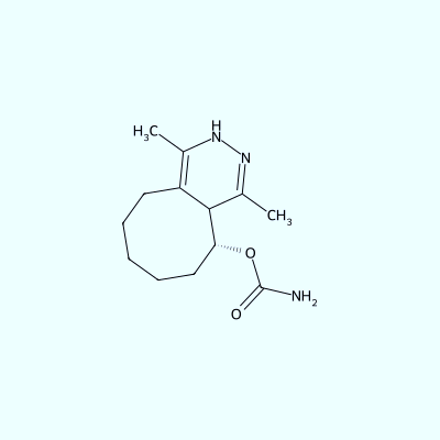 CC1=NNC(C)=C2CCCCC[C@@H](OC(N)=O)C12